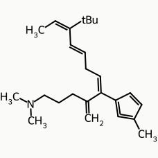 C=C(CCCN(C)C)/C(=C\C/C=C/C(=C\C)C(C)(C)C)C1=C=C(C)C=C1